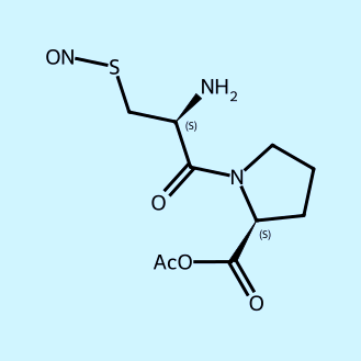 CC(=O)OC(=O)[C@@H]1CCCN1C(=O)[C@H](N)CSN=O